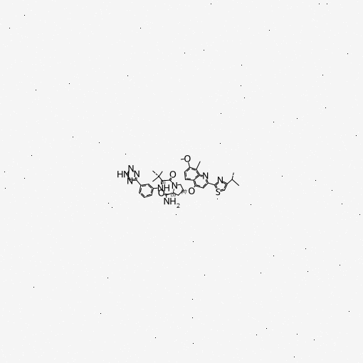 COc1ccc2c(O[C@@H]3C[C@@H](C(N)=O)N(C(=O)[C@@H](Nc4cccc(-c5nn[nH]n5)c4)C(C)(C)C)C3)cc(-c3nc(C(C)C)cs3)nc2c1C